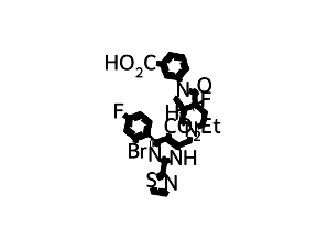 CCOC(=O)C1=C(CN2CC[C@]3(F)C(=O)N(c4cccc(C(=O)O)c4)C[C@@H]3C2)NC(c2nccs2)=N[C@H]1c1ccc(F)cc1Br